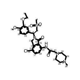 CCOc1cc([C@@H](CS(C)(=O)=O)N2Cc3c(Cl)ccc(NC(=O)CN4CCN(C)CC4)c3C2=O)ccc1OC